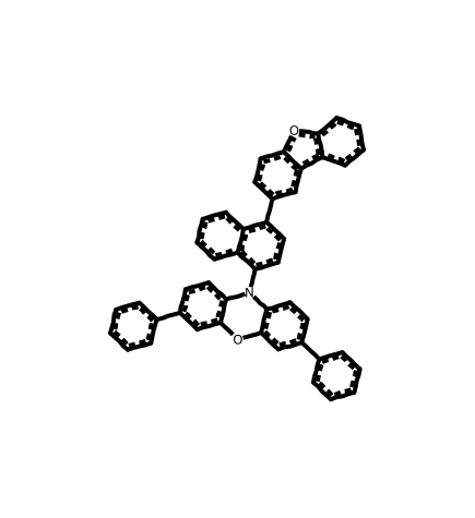 c1ccc(-c2ccc3c(c2)Oc2cc(-c4ccccc4)ccc2N3c2ccc(-c3ccc4oc5ccccc5c4c3)c3ccccc23)cc1